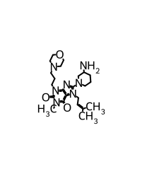 CC(C)=CCn1c(N2CCCC(N)C2)nc2c1c(=O)n(C)c(=O)n2CCCN1CCOCC1